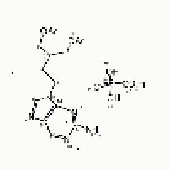 CC(=O)OCC(CCn1cnc2cnc(N)nc21)COC(C)=O.O=C(O)P(=O)(O)O